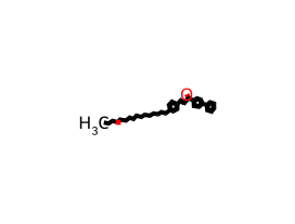 CCCCCCCCCCCCCCCCc1ccc(C=CC(=O)c2ccc(-c3ccccc3)cc2)cc1